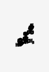 CN1CC(C(=O)COC(=O)c2ccncc2)CC2c3cccc4[nH]cc(c34)C[C@H]21